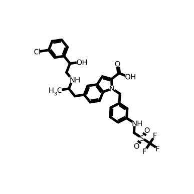 CC(Cc1ccc2c(c1)cc(C(=O)O)n2Cc1cccc(NCS(=O)(=O)C(F)(F)F)c1)NCC(O)c1cccc(Cl)c1